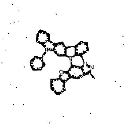 Cc1nn2c3c(c4oc5ccccc5c4cc13)B1c3cc4c(cc3-c3cccc-2c31)c1ccccc1n4-c1ccccc1